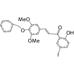 COc1cc(/C=C/C(=O)c2cc(I)ccc2O)cc(OC)c1OCc1ccccc1